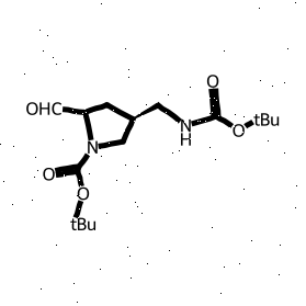 CC(C)(C)OC(=O)NC[C@@H]1CC(C=O)N(C(=O)OC(C)(C)C)C1